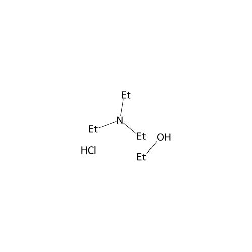 CCN(CC)CC.CCO.Cl